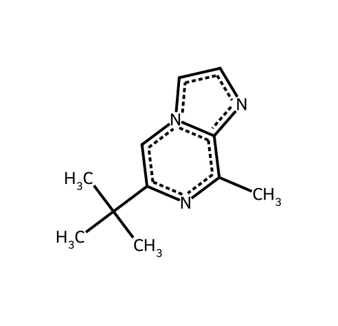 Cc1nc(C(C)(C)C)cn2ccnc12